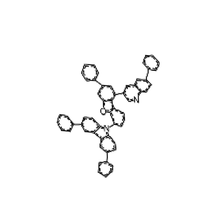 c1ccc(-c2ccc3ncc(-c4cc(-c5ccccc5)cc5oc6c(-n7c8ccc(-c9ccccc9)cc8c8cc(-c9ccccc9)ccc87)cccc6c45)cc3c2)cc1